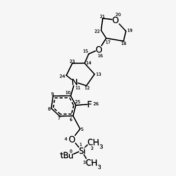 CC(C)(C)[Si](C)(C)OCc1cccc(N2CCC(COC3CCOCC3)CC2)c1F